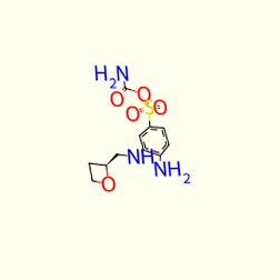 NC(=O)OS(=O)(=O)c1ccc(N)c(NC[C@@H]2CCO2)c1